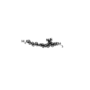 C=CC(=O)OCCOC(=O)CCC(=O)OCCc1ccc(OC(=O)C2CCC(C(=O)Oc3ccc(OC(=O)C4CCC(C)CC4)c4c3SC(=C(C#N)C#N)S4)CC2)cc1